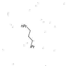 CCCCC[CH]C(C)C